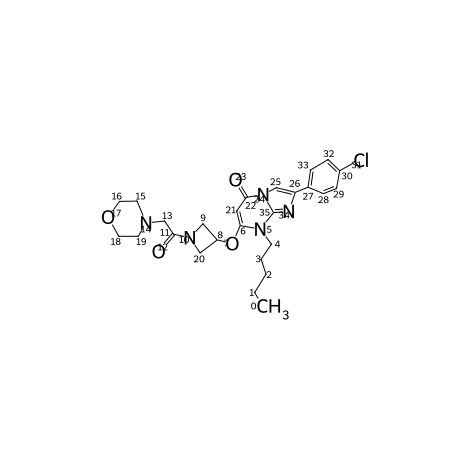 CCCCCn1c(OC2CN(C(=O)CN3CCOCC3)C2)cc(=O)n2cc(-c3ccc(Cl)cc3)nc12